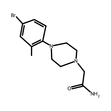 Cc1cc(Br)ccc1N1CCN(CC(N)=O)CC1